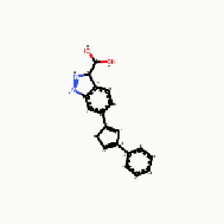 OC(O)C1N=Nc2cc(C3=CC(c4ccccc4)=CC3)ccc21